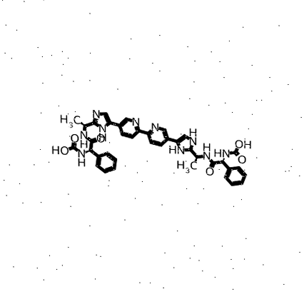 C[C@H](NC(=O)[C@H](NC(=O)O)c1ccccc1)c1ncc(-c2ccc(-c3ccc(C4=CNC([C@H](C)NC(=O)[C@H](NC(=O)O)c5ccccc5)N4)cn3)nc2)[nH]1